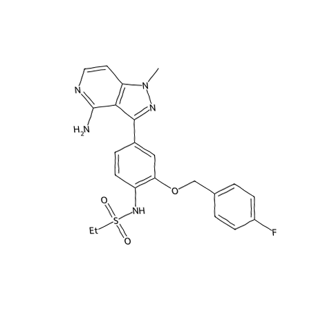 CCS(=O)(=O)Nc1ccc(-c2nn(C)c3ccnc(N)c23)cc1OCc1ccc(F)cc1